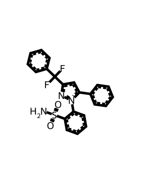 NS(=O)(=O)c1ccccc1-n1nc(C(F)(F)c2ccccc2)cc1-c1ccccc1